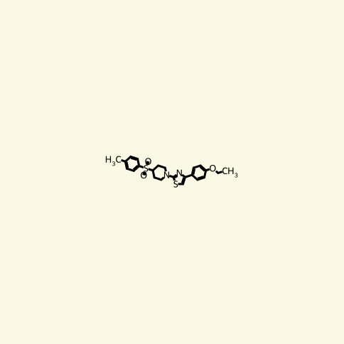 CCOc1ccc(-c2csc(N3CCC(S(=O)(=O)c4ccc(C)cc4)CC3)n2)cc1